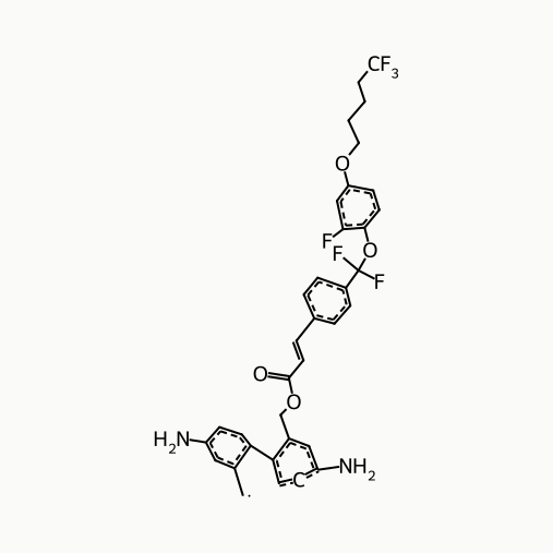 [CH2]c1cc(N)ccc1-c1ccc(N)cc1COC(=O)/C=C/c1ccc(C(F)(F)Oc2ccc(OCCCCC(F)(F)F)cc2F)cc1